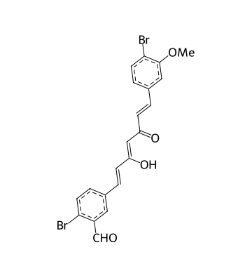 COc1cc(/C=C/C(=O)/C=C(O)/C=C/c2ccc(Br)c(C=O)c2)ccc1Br